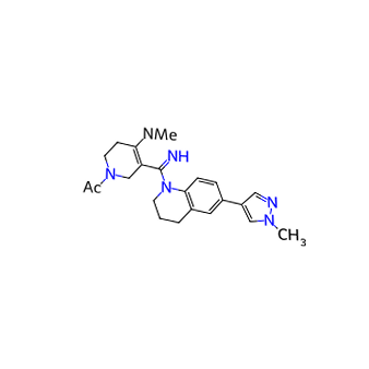 CNC1=C(C(=N)N2CCCc3cc(-c4cnn(C)c4)ccc32)CN(C(C)=O)CC1